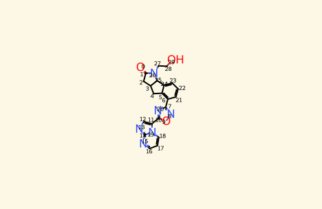 O=C1CC2Cc3c(-c4noc(-c5cnc6ncccn56)n4)cccc3C2N1CCO